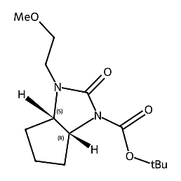 COCCN1C(=O)N(C(=O)OC(C)(C)C)[C@@H]2CCC[C@@H]21